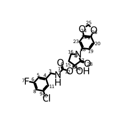 O=C(NCc1cc(F)cc(Cl)c1)O[C@@]1(O)CCN(c2ccc3c(c2)OCO3)C1=O